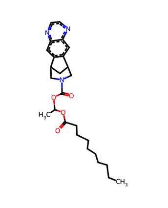 CCCCCCCCCC(=O)OC(C)OC(=O)N1CC2CC(C1)c1cc3nccnc3cc12